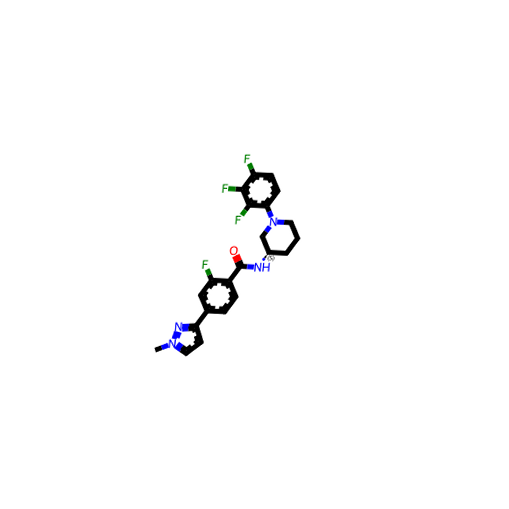 Cn1ccc(-c2ccc(C(=O)N[C@H]3CCCN(c4ccc(F)c(F)c4F)C3)c(F)c2)n1